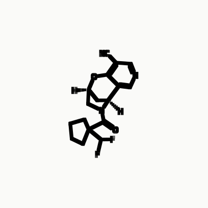 N#Cc1cncc2c1O[C@H]1C[C@@H]2N(C(=O)C2(C(F)F)CCCC2)C1